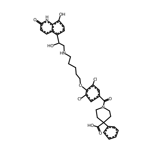 O=C(c1cc(Cl)c(OCCCCCNCC(O)c2ccc(O)c3[nH]c(=O)ccc23)c(Cl)c1)N1CCC(C(=O)O)(c2ccccc2)CC1